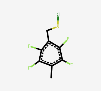 Cc1c(F)c(F)c(CSCl)c(F)c1F